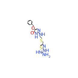 N=C(N)Nc1nc(CSCCNc2ncc(OCc3ccccc3)c(=O)[nH]2)cs1